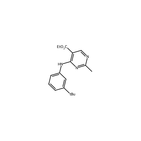 CCOC(=O)c1cnc(C)nc1Nc1cccc(C(C)(C)C)c1